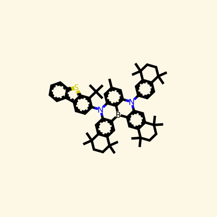 Cc1cc2c3c(c1)N(c1ccc4c(sc5ccccc54)c1C(C)(C)C)c1cc4c(cc1B3c1cc3c(cc1N2c1ccc2c(c1)C(C)(C)CCC2(C)C)C(C)(C)CCC3(C)C)C(C)(C)CCC4(C)C